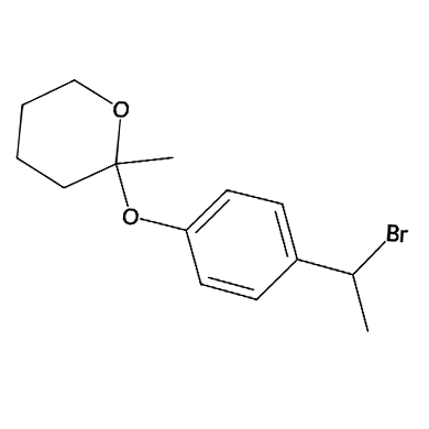 CC(Br)c1ccc(OC2(C)CCCCO2)cc1